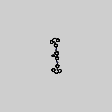 CCC1(CC)c2cc(/C=C/c3ccc(N4C5=C(C=CCC5)C=Cc5ccccc54)cc3)ccc2-c2ccc(/C=C/c3ccc(N4C5=C(C=CCC5)C=Cc5ccccc54)cc3)cc21